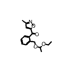 CCOC(C)OCc1ccccc1C(=O)c1cc(C)no1